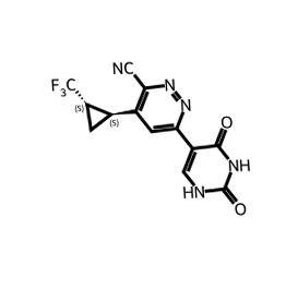 N#Cc1nnc(-c2c[nH]c(=O)[nH]c2=O)cc1[C@H]1C[C@@H]1C(F)(F)F